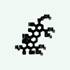 C=C=Nc1cc(N(C)C)c2c(c1O)C(=O)C1=C(O)C3(O)C(=O)C(C(N)=O)=C(O)C(N(C)C)C3CC1C2